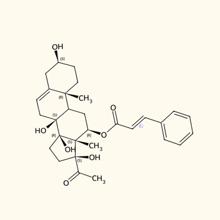 CC(=O)[C@]1(O)CC[C@@]2(O)[C@]1(C)[C@H](OC(=O)/C=C/c1ccccc1)CC1[C@@]3(C)CC[C@H](O)CC3=CC[C@]12O